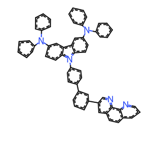 c1ccc(N(c2ccccc2)c2ccc3c(c2)c2cc(N(c4ccccc4)c4ccccc4)ccc2n3-c2ccc(-c3cccc(-c4cnc5c(ccc6cccnc65)c4)c3)cc2)cc1